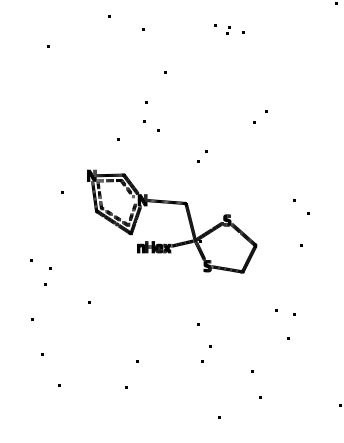 CCCCCCC1(Cn2ccnc2)SCCS1